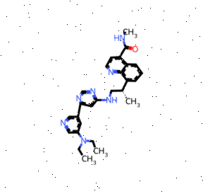 CCN(CC)c1cncc(-c2cc(NC[C@@H](C)c3cccc4c(C(=O)NC)ccnc34)ncn2)c1